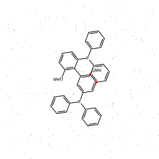 COc1ccc(P(c2ccccc2)c2ccccc2)cc1-c1c(OC)cccc1P(c1ccccc1)c1ccccc1